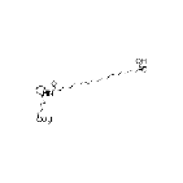 O=C(O)CCCSc1ccccc1NC(=O)CCCCCCCCCCCCCCCCCS(=O)O